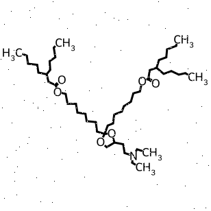 CCCCCC(CCCCC)CC(=O)OCCCCCCCCC1(CCCCCCCCOC(=O)CC(CCCCC)CCCCC)OCC(CCN(CC)CC)O1